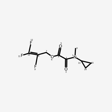 CN(C(=O)C(=O)OCC(F)=C(F)F)C1CC1